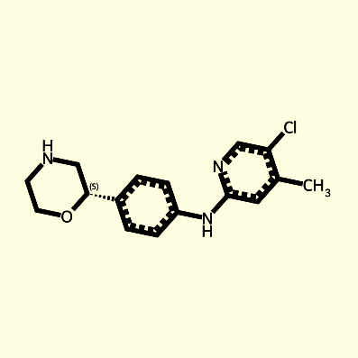 Cc1cc(Nc2ccc([C@H]3CNCCO3)cc2)ncc1Cl